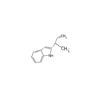 [CH2]C(C=C)c1cc2ccccc2[nH]1